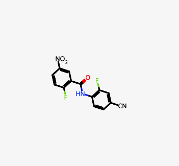 N#Cc1ccc(NC(=O)c2cc([N+](=O)[O-])ccc2F)c(F)c1